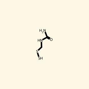 NC(=O)NCSS